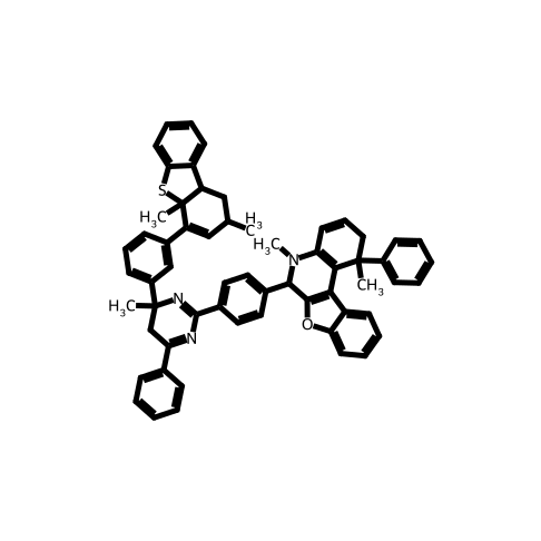 CC1C=C(c2cccc(C3(C)CC(c4ccccc4)=NC(c4ccc(C5c6oc7ccccc7c6C6=C(C=CCC6(C)c6ccccc6)N5C)cc4)=N3)c2)C2(C)Sc3ccccc3C2C1